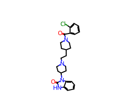 O=C(c1ccccc1Cl)N1CCC(CCN2CCC(n3c(=O)[nH]c4ccccc43)CC2)CC1